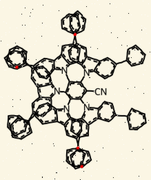 N#Cc1c(-n2c3ccc(-c4ccccc4)cc3c3cc(-c4ccccc4)ccc32)c(-n2c3ccc(-c4ccccc4)cc3c3cc(-c4ccccc4)ccc32)c(-n2c3ccc(-c4ccccc4)cc3c3cc(-c4ccccc4)ccc32)c(-n2c3ccc(-c4ccccc4)cc3c3cc(-c4ccccc4)ccc32)c1-n1c2ccc(-c3ccccc3)cc2c2cc(-c3ccccc3)ccc21